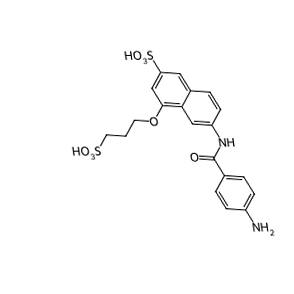 Nc1ccc(C(=O)Nc2ccc3cc(S(=O)(=O)O)cc(OCCCS(=O)(=O)O)c3c2)cc1